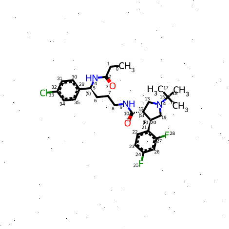 CCC(=O)N[C@@H](CCCNC(=O)[C@@H]1CN(C(C)(C)C)C[C@H]1c1ccc(F)cc1F)c1ccc(Cl)cc1